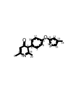 CC1=CC(=O)C(c2ccc(Oc3cc(C)cs3)cc2)C(C)=N1